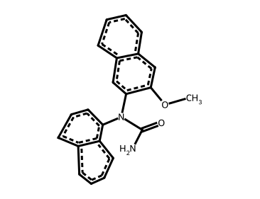 COc1cc2ccccc2cc1N(C(N)=O)c1cccc2ccccc12